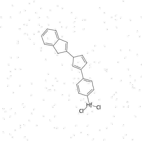 [Cl][Hf]([Cl])[c]1ccc(C2=CC(C3=Cc4ccccc4C3)C=C2)cc1